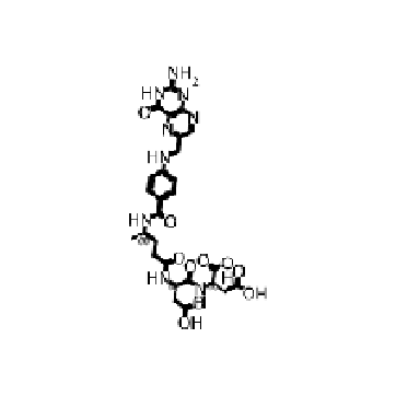 C[C@H](CCC(=O)N[C@H](CC(=O)O)C(=O)N[C@H](CC(=O)O)C(=O)O)NC(=O)c1ccc(NCc2cnc3nc(N)[nH]c(=O)c3n2)cc1